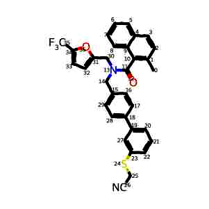 Cc1ccc2ccccc2c1C(=O)N(Cc1ccc(-c2cccc(SCC#N)c2)cc1)Cc1ccc(C(F)(F)F)o1